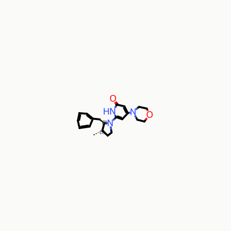 C[C@H]1CCN(c2cc(N3CCOCC3)cc(=O)[nH]2)[C@@H]1Cc1ccccc1